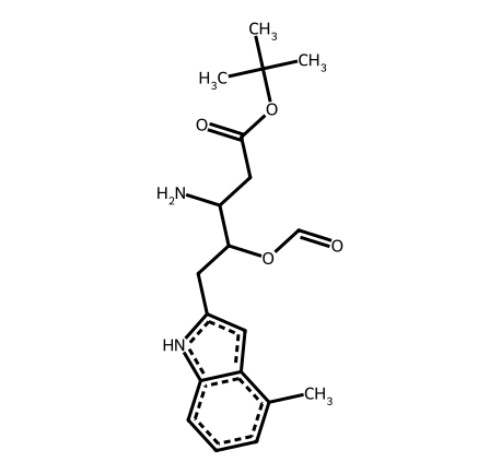 Cc1cccc2[nH]c(CC(OC=O)C(N)CC(=O)OC(C)(C)C)cc12